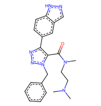 CN(C)CCN(C)C(=O)c1c(-c2ccc3[nH]ncc3c2)nnn1Cc1ccccc1